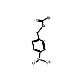 CCC(=O)NCc1ccc(N(C)C)nc1